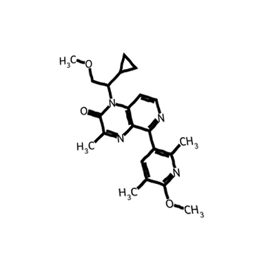 COCC(C1CC1)n1c(=O)c(C)nc2c(-c3cc(C)c(OC)nc3C)nccc21